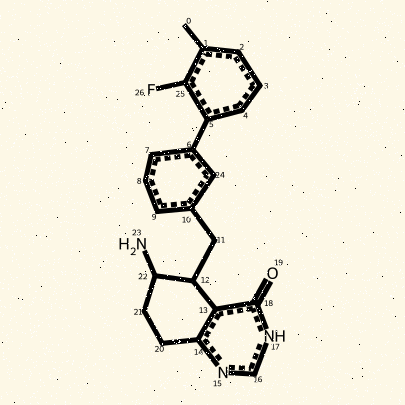 Cc1cccc(-c2cccc(CC3c4c(nc[nH]c4=O)CCC3N)c2)c1F